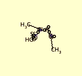 CCCCCCCCCCN(/N=C/c1ccc(N(c2ccccc2)c2ccc(/C=N/N(CCCCCCCCC)c3ccc(/C=C4\SC(=S)N(CC(=O)O)C4=O)cc3)cc2)cc1)c1ccccc1